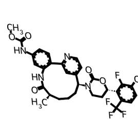 COC(=O)Nc1ccc2c(c1)NC(=O)[C@H](C)CCC[C@H](N1CC[C@@H](c3c(C(F)(F)F)ccc(Cl)c3F)OC1=O)c1ccnc-2c1